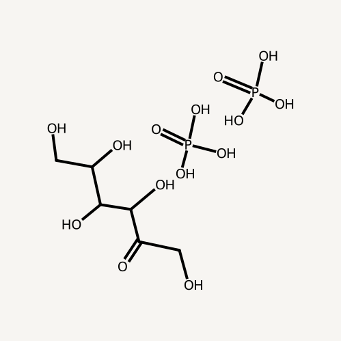 O=C(CO)C(O)C(O)C(O)CO.O=P(O)(O)O.O=P(O)(O)O